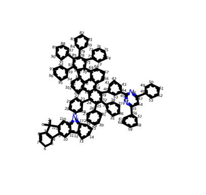 CC1(C)C2=C(CCC=C2)c2cc3c4ccccc4n(-c4cccc(-c5c(-c6ccccc6)c(-c6ccccc6)c(-c6cccc(-c7nc(-c8ccccc8)cc(-c8ccccc8)n7)c6)c6c7cccc8c9c(-c%10ccccc%10)c(-c%10ccccc%10)c(-c%10ccccc%10)c(-c%10ccccc%10)c9c9cccc(c56)c9c87)c4)c3cc21